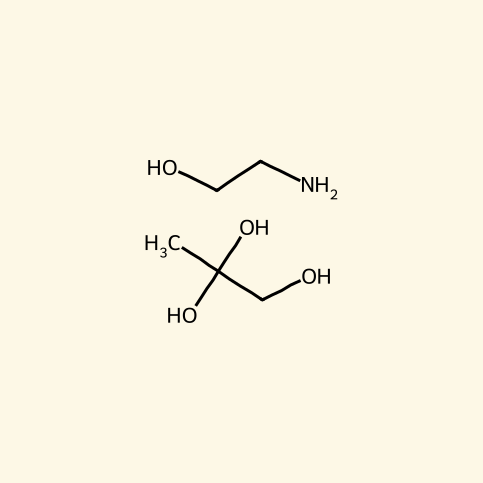 CC(O)(O)CO.NCCO